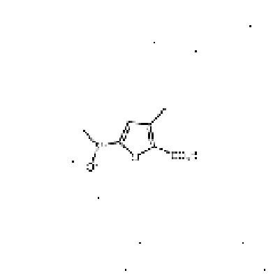 Cc1cc([S+](C)[O-])oc1C(=O)O